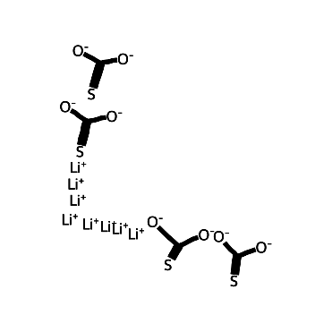 [Li+].[Li+].[Li+].[Li+].[Li+].[Li+].[Li+].[Li+].[O-]C([O-])=S.[O-]C([O-])=S.[O-]C([O-])=S.[O-]C([O-])=S